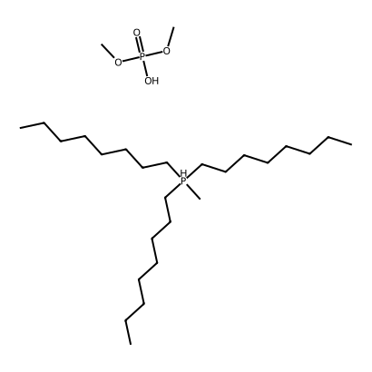 CCCCCCCC[PH](C)(CCCCCCCC)CCCCCCCC.COP(=O)(O)OC